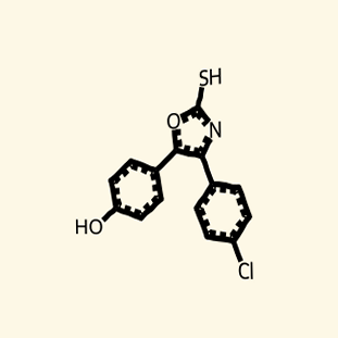 Oc1ccc(-c2oc(S)nc2-c2ccc(Cl)cc2)cc1